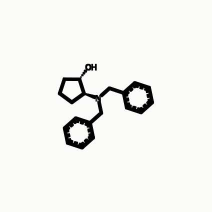 O[C@H]1CCC[C@@H]1N(Cc1ccccc1)Cc1ccccc1